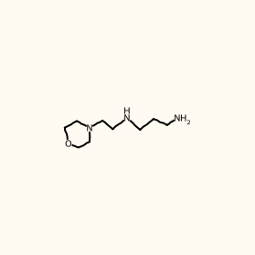 NCCCNCCN1CCOCC1